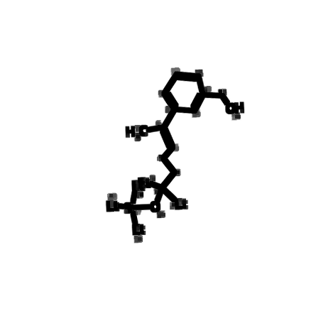 CCC(CC)(CCC=C(C)c1cccc(CO)c1)O[Si](CC)(CC)CC